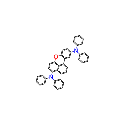 c1ccc(N(c2ccccc2)c2ccc3c(c2)-c2cccc4c(N(c5ccccc5)c5ccccc5)ccc(c24)O3)cc1